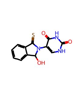 O=c1[nH]cc(N2C(=S)c3ccccc3C2O)c(=O)[nH]1